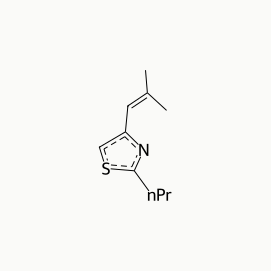 CCCc1nc(C=C(C)C)cs1